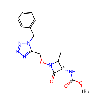 CC1[C@H](NC(=O)OC(C)(C)C)C(=O)N1OCc1nnnn1Cc1ccccc1